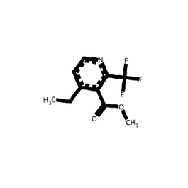 CCc1ccnc(C(F)(F)F)c1C(=O)OC